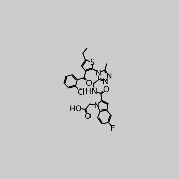 CCc1cc(C(=O)c2ccccc2Cl)c(-n2c(C)nnc2CNC(=O)c2cc3cc(F)ccc3n2CC(=O)O)s1